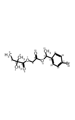 CCC(C)(C)C(=O)OCC(=O)OC(C)c1ccc(Br)cc1